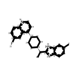 Cc1ccc2nc(C(C)[C@H]3CC[C@@H](c4ccnc5ccc(F)cc54)CC3)[nH]c2c1